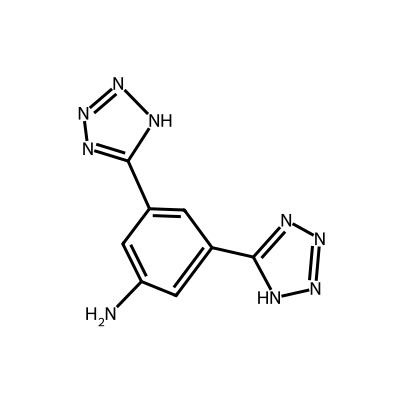 Nc1cc(-c2nnn[nH]2)cc(-c2nnn[nH]2)c1